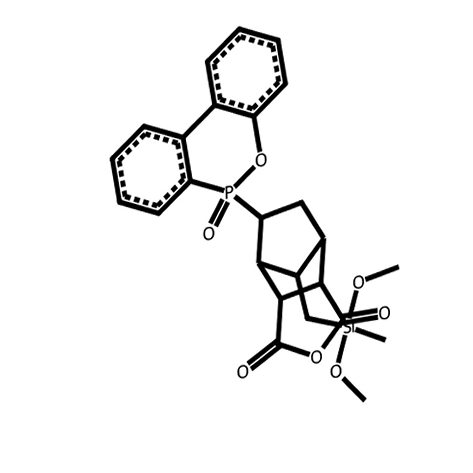 CO[Si](C)(CC1C2CC(P3(=O)Oc4ccccc4-c4ccccc43)C1C1C(=O)OC(=O)C21)OC